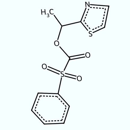 CC(OC(=O)S(=O)(=O)c1ccccc1)c1nccs1